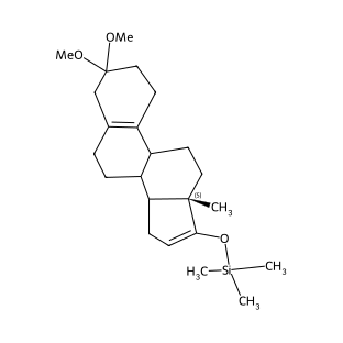 COC1(OC)CCC2=C(CCC3C2CC[C@]2(C)C(O[Si](C)(C)C)=CCC32)C1